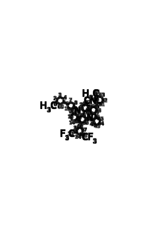 Cc1cccc(-c2ccc3c(c2)c2ccccc2n3-c2cc(C#N)ccc2-c2ccc(-c3cc(C(F)(F)F)cc(C(F)(F)F)c3)cc2-n2c3ccccc3c3cc(-c4cccc(C)c4)ccc32)c1